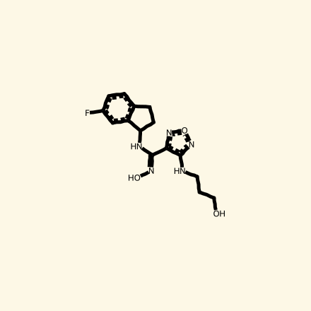 OCCCNc1nonc1/C(=N/O)NC1CCc2ccc(F)cc21